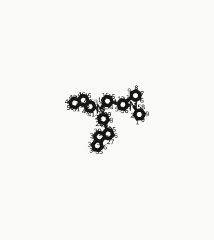 c1ccc(-n2c3ccccc3c3cc(-c4cccc(N(c5ccc(-c6cccc7c6ccc6ccccc67)cc5)c5ccc6c(ccc7ccccc76)c5)c4)ccc32)cc1